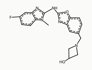 Cn1c(Nc2nc3cc(CN4CC(O)C4)ccc3o2)nc2cc(F)ccc21